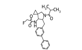 CC(C)C(=O)N1CC2(CC2)C(NS(=O)(=O)CF)C1Cc1cccc(-c2ccccc2)c1